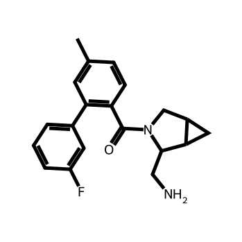 Cc1ccc(C(=O)N2CC3CC3C2CN)c(-c2cccc(F)c2)c1